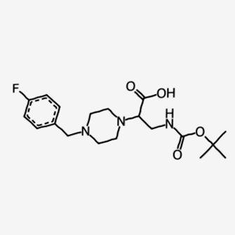 CC(C)(C)OC(=O)NCC(C(=O)O)N1CCN(Cc2ccc(F)cc2)CC1